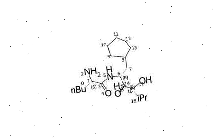 CCCC[C@H](N)C(=O)N[C@H](CC1CCCCC1)[C@H](O)[C@H](O)C(C)C